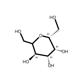 O[CH]C1O[C@H](CO)[C@H](O)[C@H](O)[C@H]1O